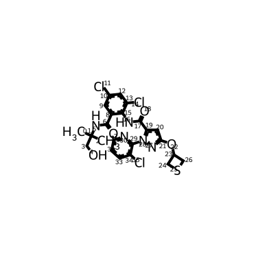 CC(C)(CO)NC(=O)c1cc(Cl)cc(Cl)c1NC(=O)c1cc(OC2CSC2)nn1-c1ncccc1Cl